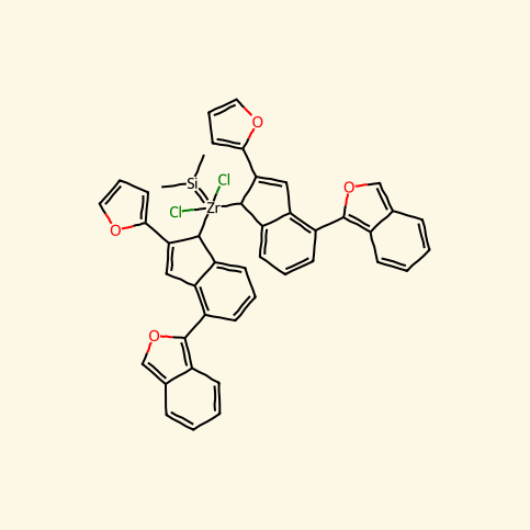 C[Si](C)=[Zr]([Cl])([Cl])([CH]1C(c2ccco2)=Cc2c(-c3occ4ccccc34)cccc21)[CH]1C(c2ccco2)=Cc2c(-c3occ4ccccc34)cccc21